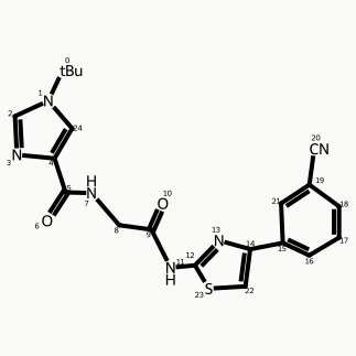 CC(C)(C)n1cnc(C(=O)NCC(=O)Nc2nc(-c3cccc(C#N)c3)cs2)c1